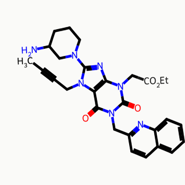 CC#CCn1c(N2CCCC(N)C2)nc2c1c(=O)n(Cc1ccc3ccccc3n1)c(=O)n2CC(=O)OCC